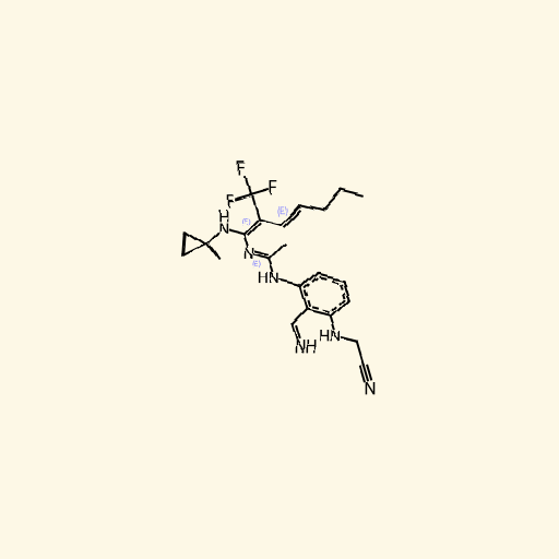 CCC/C=C/C(=C(\N=C(/C)Nc1cccc(NCC#N)c1C=N)NC1(C)CC1)C(F)(F)F